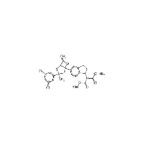 C=C1OC2(c3ccc4c(c3)CCC4N(C(=O)OC(C)(C)C)C(=O)OC(C)(C)C)CC(c3cc(Cl)cc(Cl)c3)(C(F)(F)F)SC12